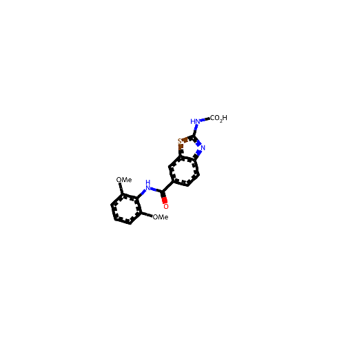 COc1cccc(OC)c1NC(=O)c1ccc2nc(NC(=O)O)sc2c1